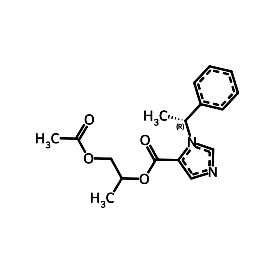 CC(=O)OCC(C)OC(=O)c1cncn1[C@H](C)c1ccccc1